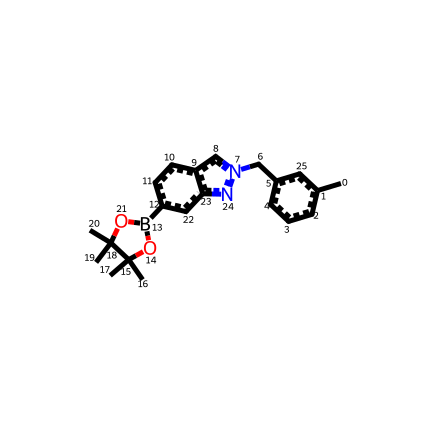 Cc1cccc(Cn2cc3ccc(B4OC(C)(C)C(C)(C)O4)cc3n2)c1